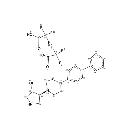 O=C(O)C(F)(F)F.O=C(O)C(F)(F)F.O[C@H]1CNC[C@@H]1N1CCN(c2ccc(-c3ccccc3)cc2)CC1